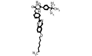 CCCCCCCOc1ccc2nc(-c3ccc(C[C@H](NC(=O)c4ccc(C(C)(C)C)cc4)C(=O)O)cc3)ncc2c1